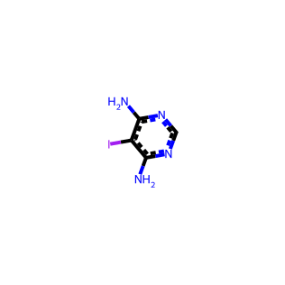 Nc1ncnc(N)c1I